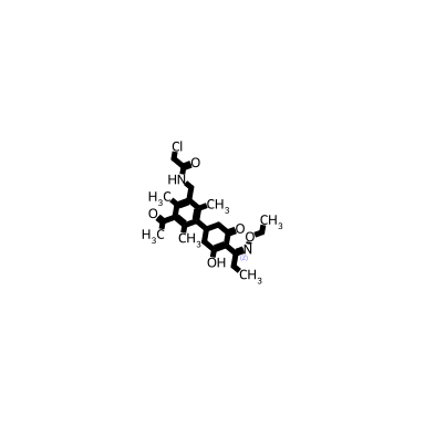 CCO/N=C(/CC)C1=C(O)CC(c2c(C)c(CNC(=O)CCl)c(C)c(C(C)=O)c2C)CC1=O